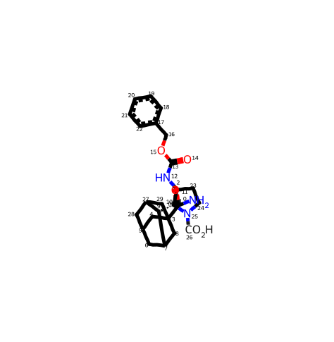 NC(=O)C12CC3CC(C1)C([C@@H]1C(NC(=O)OCc4ccccc4)CCN1C(=O)O)C(C3)C2